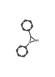 c1ccc(C2NN2c2ccccc2)cc1